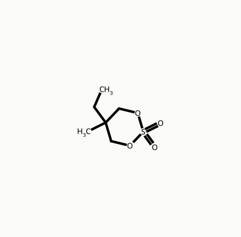 CCC1(C)COS(=O)(=O)OC1